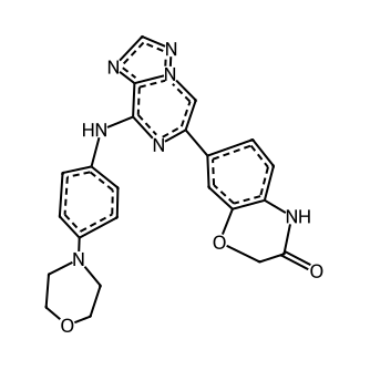 O=C1COc2cc(-c3cn4ncnc4c(Nc4ccc(N5CCOCC5)cc4)n3)ccc2N1